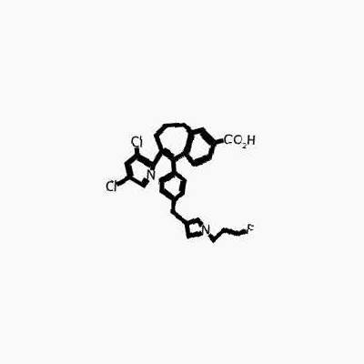 O=C(O)c1ccc2c(c1)CCCC(c1ncc(Cl)cc1Cl)=C2c1ccc(CC2CN(CCCF)C2)cc1